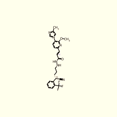 COc1nc(/C=C/C(=O)NNCCC[C@H](C#N)c2ccccc2C(F)(F)F)ccc1-n1cnc(C)c1